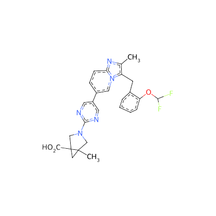 Cc1nc2ccc(-c3cnc(N4CC5(C)CC5(C(=O)O)C4)nc3)cn2c1Cc1ccccc1OC(F)F